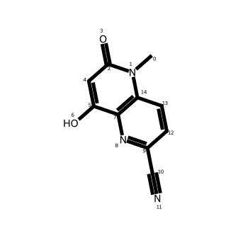 Cn1c(=O)cc(O)c2nc(C#N)ccc21